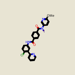 COc1ccc(N(I)C(=O)c2ccc(C(=O)Nc3ccc(Cl)c(-c4ccccn4)c3)cc2)cn1